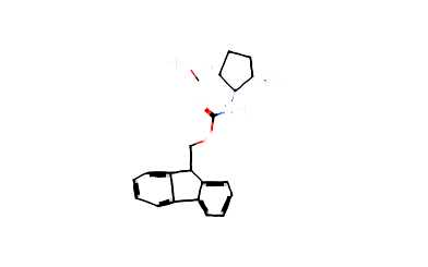 C[C@H]1CC[C@@H](CO)[C@@H]1NC(=O)OCC1c2ccccc2-c2ccccc21